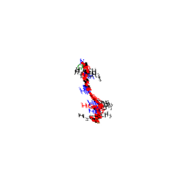 Cc1ccsc1-c1ccc([C@H](C)NC(=O)[C@@H]2C[C@@H](O)CN2C(=O)[C@@H](NC(=O)COCCNc2ccc(-c3ccc(C(=O)N[C@H]4C(C)(C)[C@H](Oc5ccc(C#N)c(Cl)c5)C4(C)C)cc3)cn2)C(C)(C)C)cc1